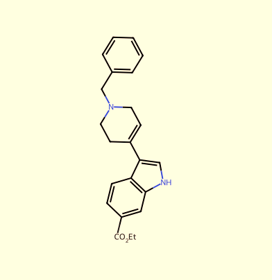 CCOC(=O)c1ccc2c(C3=CCN(Cc4ccccc4)CC3)c[nH]c2c1